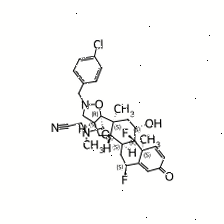 CN(CC#N)C(=O)[C@@]12ON(Cc3ccc(Cl)cc3)C[C@@H]1C[C@H]1[C@@H]3C[C@H](F)C4=CC(=O)C=C[C@]4(C)[C@@]3(F)[C@@H](O)C[C@@]12C